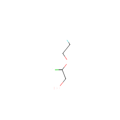 OCC(Cl)OCCF